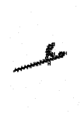 CCC=CCC=CCC=CCC=CCC=CCC=CCCC(=O)NCCN(CCCN1CCNCC1)CCNC(=O)C(C)(C)Oc1ccc(Cl)cc1